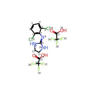 Clc1cccc(Cl)c1N=C1NCCN1.O=C(O)C(F)(F)F.O=C(O)C(F)(F)F